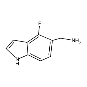 NCc1ccc2[nH]ccc2c1F